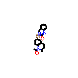 CC(=O)N1c2ccc(Br)c(Oc3ncc4ccccc4n3)c2CCC1C